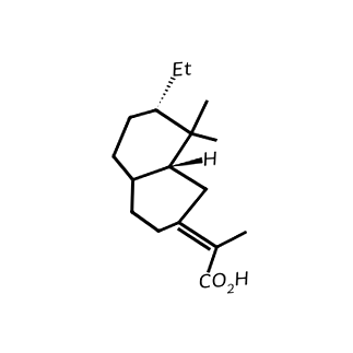 CC[C@H]1CCC2CCC(=C(C)C(=O)O)C[C@H]2C1(C)C